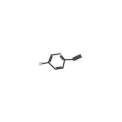 [C]#Cc1ccc(Cl)cn1